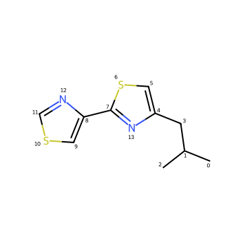 CC(C)Cc1csc(-c2cscn2)n1